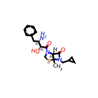 CC12SCN(C(=O)[C@@H](O)[C@@H](N)Cc3ccccc3)[C@@H]1C(=O)N2CC1CC1